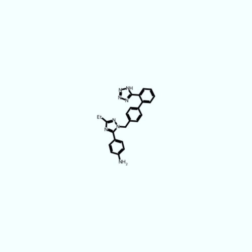 CCc1nc(-c2ccc(N)cc2)n(Cc2ccc(-c3ccccc3-c3nnn[nH]3)cc2)n1